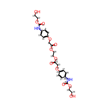 O=C(COc1ccc(NC(=O)OCCO)cc1)OCCOC(=O)COc1ccc(NC(=O)OCCO)cc1